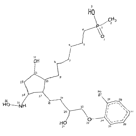 CP(=O)(O)CCCCCCC1C(O)CC(NO)C1CCC(O)COc1ccccc1F